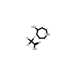 O=C(O)C(F)(F)F.OC1CCCNCC1